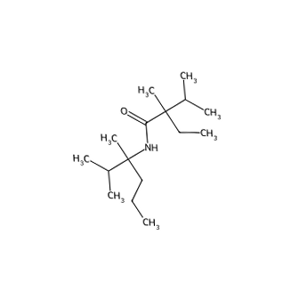 CCCC(C)(NC(=O)C(C)(CC)C(C)C)C(C)C